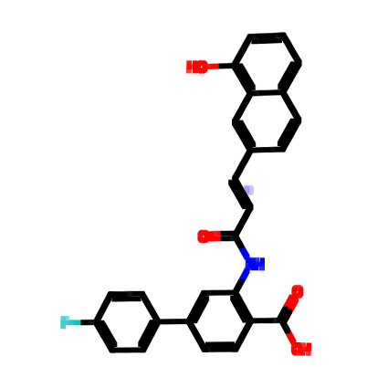 O=C(/C=C/c1ccc2cccc(O)c2c1)Nc1cc(-c2ccc(F)cc2)ccc1C(=O)O